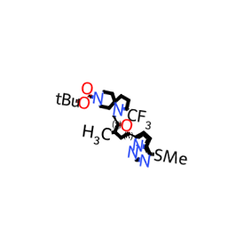 CSc1ncnn2c([C@H]3CC(C)[C@@H](CN4C(C(F)(F)F)CCC45CCN(C(=O)OC(C)(C)C)CC5)O3)ccc12